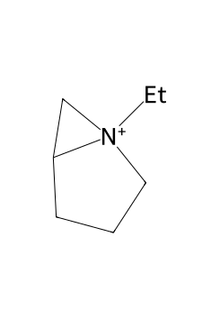 CC[N+]12CCCC1C2